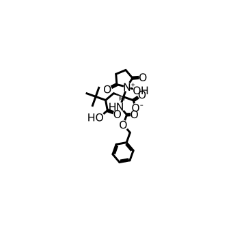 CC(C)(C)C(C[C@](NC(=O)OCc1ccccc1)(C(=O)[O-])[N+]1(O)C(=O)CCC1=O)C(=O)O